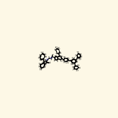 C=c1/c(=C\C=C(/C)c2ccc3cc(-c4ccc(-c5cc(-c6ccccc6)cc(-c6ccccc6)c5)cc4)nc(C4=CC=CCC4)c3c2)n(C2=CC=CC=CC2)c2ccccc12